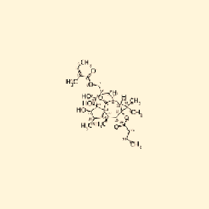 C/C=C(/C)C(=O)OCC1=C[C@@H]2C(=O)C3(C=C(C)C(O)C3(O)C1O)[C@H](C)C[C@]1(OC(=O)CCC)[C@H]2C1(C)C